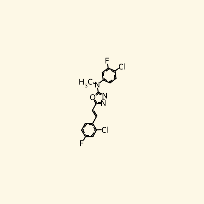 CN(c1ccc(Cl)c(F)c1)c1nnc(/C=C/c2ccc(F)cc2Cl)o1